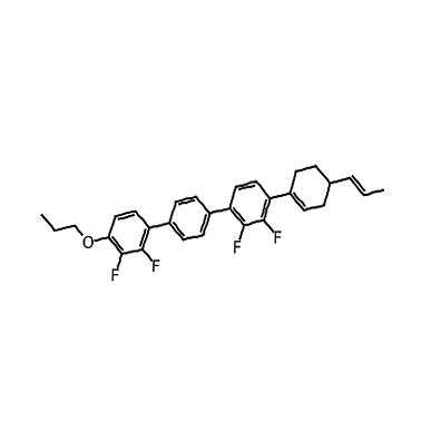 C/C=C/C1CC=C(c2ccc(-c3ccc(-c4ccc(OCCC)c(F)c4F)cc3)c(F)c2F)CC1